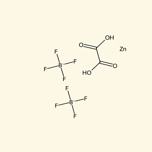 F[B-](F)(F)F.F[B-](F)(F)F.O=C(O)C(=O)O.[Zn]